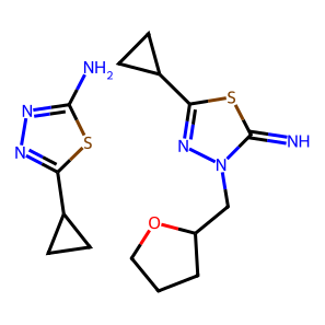 N=c1sc(C2CC2)nn1CC1CCCO1.Nc1nnc(C2CC2)s1